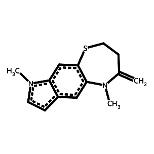 C=C1CCSc2cc3c(ccn3C)cc2N1C